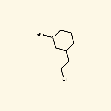 CCCCN1CCCC(CCO)C1